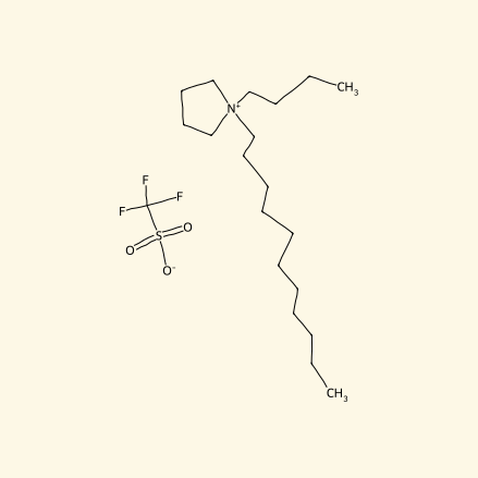 CCCCCCCCCCC[N+]1(CCCC)CCCC1.O=S(=O)([O-])C(F)(F)F